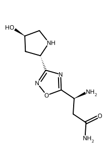 NC(=O)C[C@H](N)c1nc([C@@H]2C[C@@H](O)CN2)no1